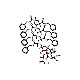 CCN(CC)CC(O)COC(=O)C(C)(CC(C)(CC(C)(CC(C)(C)C(=O)O)C(=O)O)C(=O)O)CC(C)(CC(C)(CC(C)(CC(C)(CC(C)(CC(C)(CC(C)(CC)C(=O)OCc1ccccc1)C(=O)OCc1ccccc1)C(=O)OCc1ccccc1)C(=O)OCc1ccccc1)C(=O)OCc1ccccc1)C(=O)OCc1ccccc1)C(=O)OCc1ccccc1